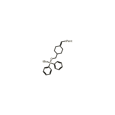 CCCCCC=C1CCC(CO[Si](c2ccccc2)(c2ccccc2)C(C)(C)C)CC1